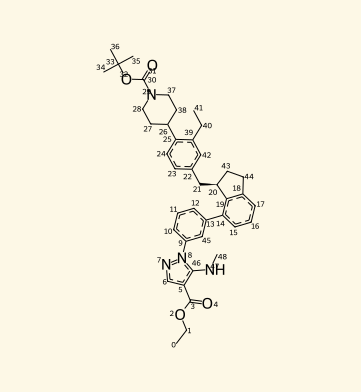 CCOC(=O)c1cnn(-c2cccc(-c3cccc4c3[C@@H](Cc3ccc(C5CCN(C(=O)OC(C)(C)C)CC5)c(CC)c3)CC4)c2)c1NC